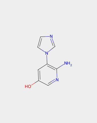 Nc1ncc(O)cc1-n1ccnc1